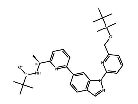 C[C@H](N[S+]([O-])C(C)(C)C)c1cccc(-c2ccc3cnn(-c4cccc(CO[Si](C)(C)C(C)(C)C)n4)c3c2)n1